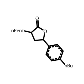 CCCCCC1CC(c2ccc(CCCC)cc2)OC1=O